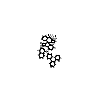 CC1(C)c2ccccc2C2(c3ccccc3-c3c(N(c4ccc(-c5ccccc5-c5ccccc5)cc4)c4cccc5ccccc45)cccc32)c2ccccc21